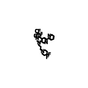 CN(CCCN1CCC(F)(F)CC1)c1cnc(-c2ccccn2)cc1-c1noc(C(F)(F)F)n1